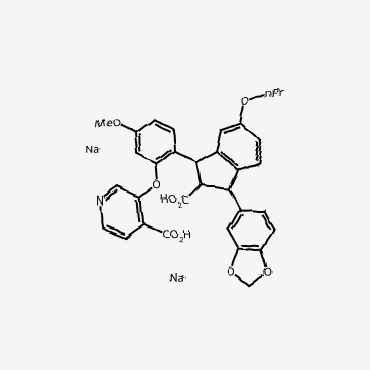 CCCOc1ccc2c(c1)C(c1ccc(OC)cc1Oc1cnccc1C(=O)O)C(C(=O)O)C2c1ccc2c(c1)OCO2.[Na].[Na]